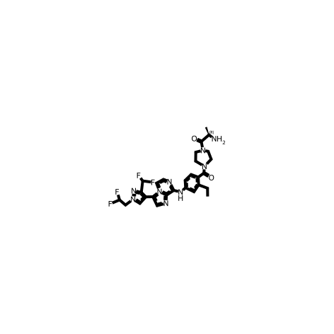 CCc1cc(Nc2nccn3c(-c4cn(CC(F)F)nc4C(F)F)cnc23)ccc1C(=O)N1CCN(C(=O)[C@@H](C)N)CC1